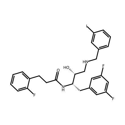 O=C(CCc1ccccc1F)N[C@@H](Cc1cc(F)cc(F)c1)[C@H](O)CNCc1cccc(I)c1